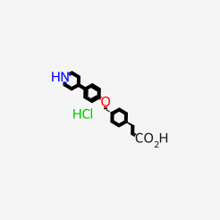 Cl.O=C(O)CC[C@H]1CC[C@H](COc2ccc(C3CCNCC3)cc2)CC1